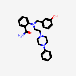 NC(=O)c1ccccc1N(CCN1CCN(c2ccccc2)CC1)Cc1cccc(O)c1